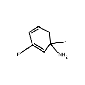 CC1(N)C=C(F)C=CC1